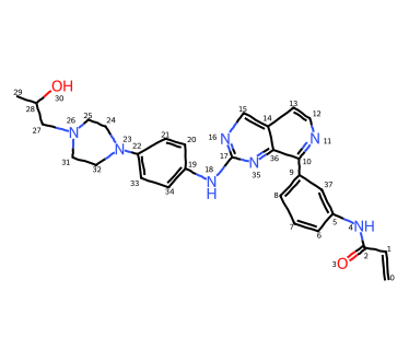 C=CC(=O)Nc1cccc(-c2nccc3cnc(Nc4ccc(N5CCN(CC(C)O)CC5)cc4)nc23)c1